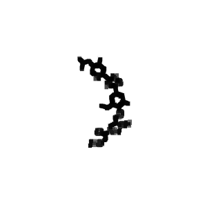 CCc1cc(-c2nc(-c3cc(C)c(CC(C)C)cn3)no2)cc(C)c1OC[C@@H](O)CNC(=O)CO